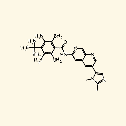 Bc1c(B)c(C(B)(B)B)c(B)c(B)c1C(=O)Nc1cc2cc(-c3cnc(C)n3C)cnc2cn1